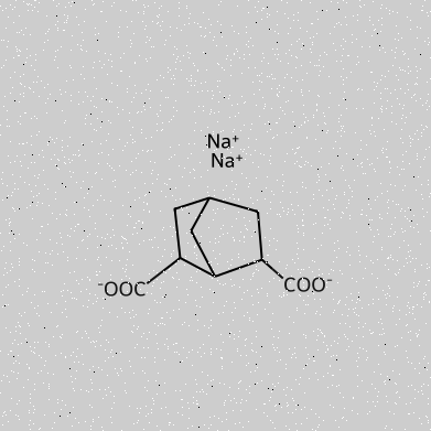 O=C([O-])C1CC2CC(C(=O)[O-])C1C2.[Na+].[Na+]